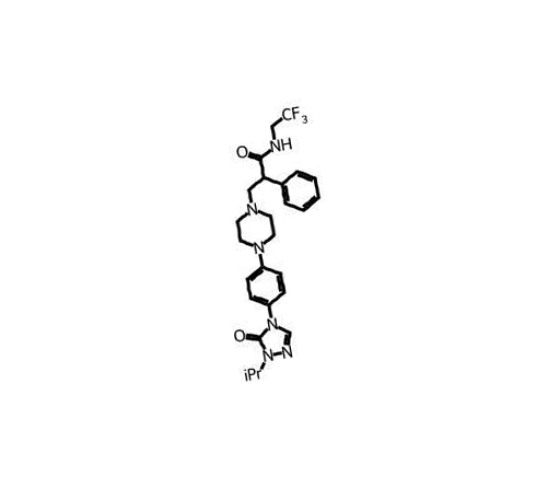 CC(C)n1ncn(-c2ccc(N3CCN(CC(C(=O)NCC(F)(F)F)c4ccccc4)CC3)cc2)c1=O